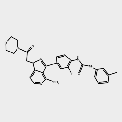 Cc1cccc(NC(=O)Nc2ccc(-c3nn(CC(=O)N4CCOCC4)c4ncnc(N)c34)cc2F)c1